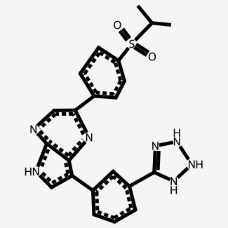 CC(C)S(=O)(=O)c1ccc(-c2cnc3[nH]cc(-c4cccc(C5=NNNN5)c4)c3n2)cc1